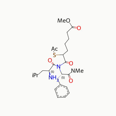 CNC(=O)[C@H](Cc1ccccc1)N(C(=O)C(CCCCC(=O)OC)SC(C)=O)C(=O)[C@@H](N)CC(C)C